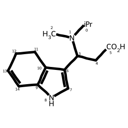 CC(C)N(C)C(CC(=O)O)c1c[nH]c2c1CCC=C2